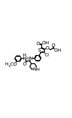 COc1cccc(NC(=O)C(Nc2cccc(-c3sc(C(=O)O)c(OCC(=O)O)c3Cl)c2)C2CCNCC2)c1